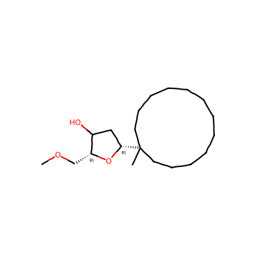 COC[C@H]1O[C@@H](C2(C)CCCCCCCCCCCC2)CC1O